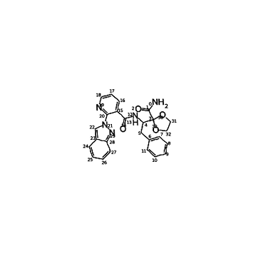 NC(=O)C1(C(Cc2ccccc2)NC(=O)c2cccnc2-n2cc3ccccc3n2)OCCO1